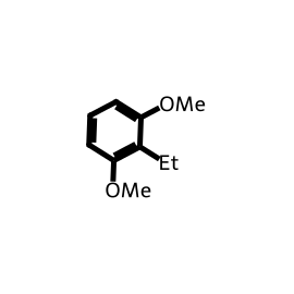 CCc1c(OC)cccc1OC